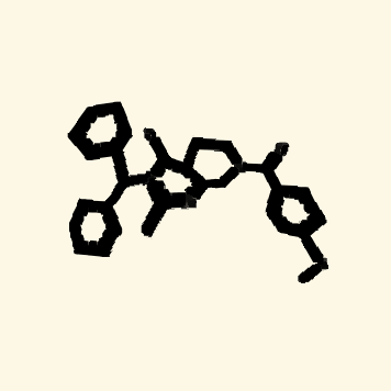 CSc1ccc(C(=O)N2CCc3c(nc(C)n(C(c4ccccc4)c4ccccc4)c3=O)C2)cc1